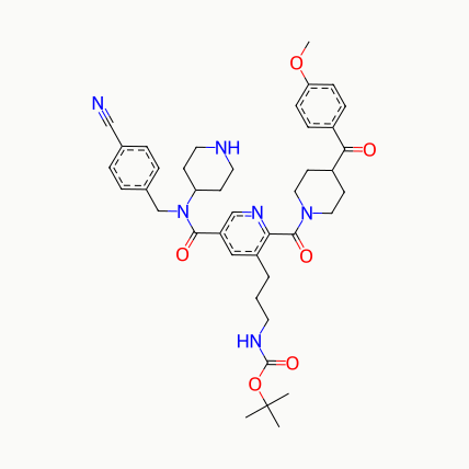 COc1ccc(C(=O)C2CCN(C(=O)c3ncc(C(=O)N(Cc4ccc(C#N)cc4)C4CCNCC4)cc3CCCNC(=O)OC(C)(C)C)CC2)cc1